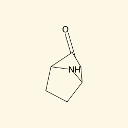 O=C1CC2CCC1N2